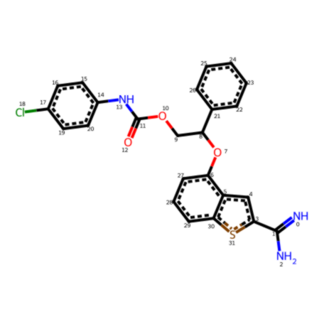 N=C(N)c1cc2c(OC(COC(=O)Nc3ccc(Cl)cc3)c3ccccc3)cccc2s1